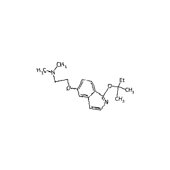 CCC(C)(C)Oc1nccc2cc(OCCN(C)C)ccc12